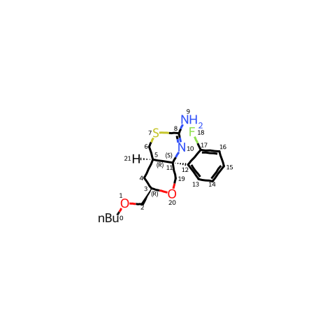 CCCCOC[C@H]1C[C@H]2CSC(N)=N[C@@]2(c2ccccc2F)CO1